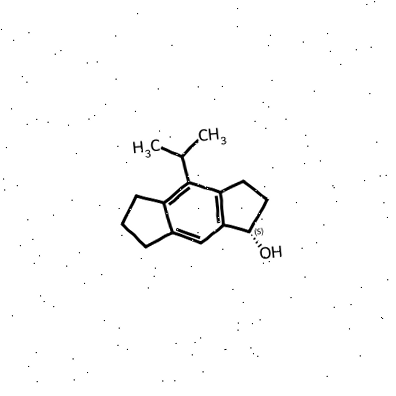 CC(C)c1c2c(cc3c1CC[C@@H]3O)CCC2